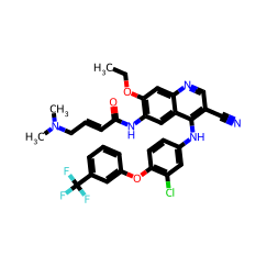 CCOc1cc2ncc(C#N)c(Nc3ccc(Oc4cccc(C(F)(F)F)c4)c(Cl)c3)c2cc1NC(=O)C=CCN(C)C